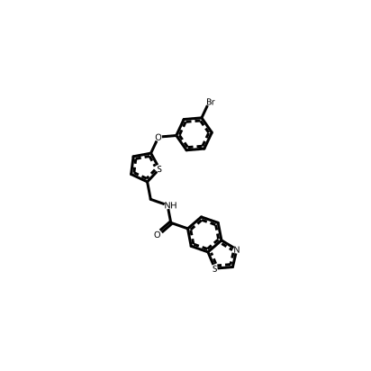 O=C(NCc1ccc(Oc2cccc(Br)c2)s1)c1ccc2ncsc2c1